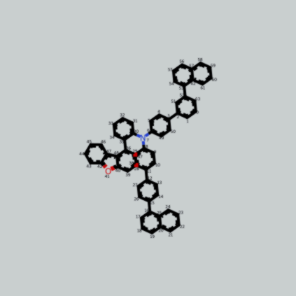 c1cc(-c2ccc(N(c3ccc(-c4ccc(-c5cccc6ccccc56)cc4)cc3)c3ccccc3-c3cccc4oc5ccccc5c34)cc2)cc(-c2cccc3ccccc23)c1